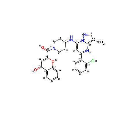 Bc1cnn2c(NC3CCN(C(=O)c4cc(=O)c5ccccc5o4)CC3)cc(-c3ccccc3Cl)nc12